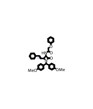 COc1ccc(C(c2ccc(OC)cc2)N2C(=O)C(NC(=O)COc3ccccc3)C2/C=C/c2ccccc2)cc1